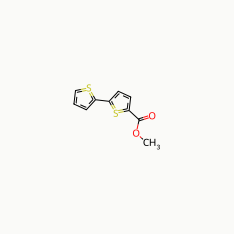 COC(=O)c1ccc(-c2cccs2)s1